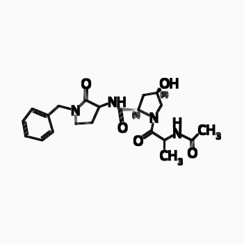 CC(=O)NC(C)C(=O)N1C[C@H](O)C[C@H]1C(=O)NC1CCN(Cc2ccccc2)C1=O